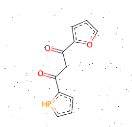 O=C(CC(=O)c1ccc[pH]1)c1ccco1